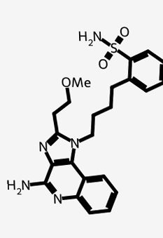 COCCc1nc2c(N)nc3ccccc3c2n1CCCCc1ccccc1S(N)(=O)=O